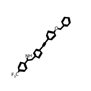 [NH]C(Cc1ccc(C#Cc2ccc(OCc3ccccc3)cc2)cc1)c1ccc(C(F)(F)F)cc1